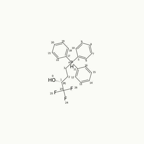 O[C@H](CC[PH](c1ccccc1)(c1ccccc1)c1ccccc1)C(F)(F)F